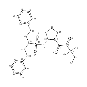 CCC(C)(C)C(=O)C(=O)N1CCC[C@H]1CS(=O)(=O)C(CCc1cccnc1)CCc1cccnc1